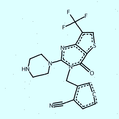 N#Cc1ccccc1Cn1c(N2CCNCC2)nc2c(C(F)(F)F)csc2c1=O